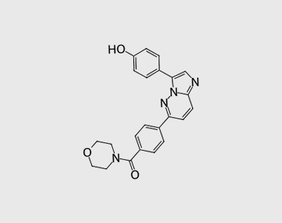 O=C(c1ccc(-c2ccc3ncc(-c4ccc(O)cc4)n3n2)cc1)N1CCOCC1